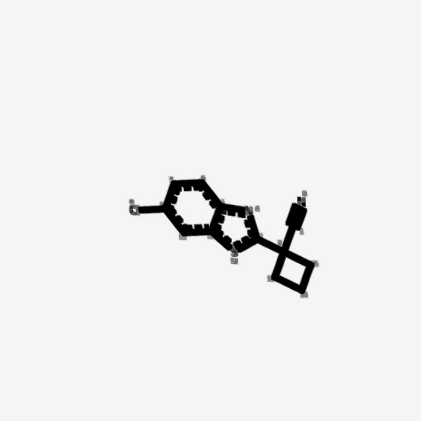 N#CC1(c2nc3ccc(Cl)cc3s2)CCC1